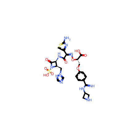 N=C(NC1CNC1)c1ccc(OC[C@H](O/N=C(\C(=O)N[C@@H]2C(=O)N(S(=O)(=O)O)[C@@H]2Cn2cncn2)c2csc(N)n2)C(=O)O)cc1